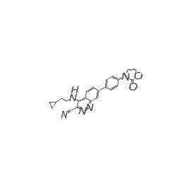 N#Cc1nnc2cc(-c3ccc(N4CCOC4=O)cc3)ccc2c1NCCC1CC1